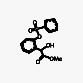 COC(=O)C(O)c1ccccc1OS(=O)(=O)c1ccccc1